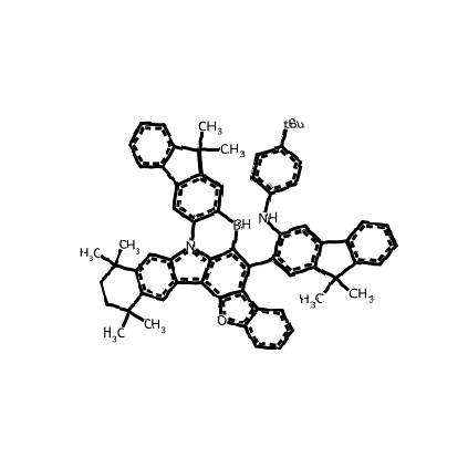 CC(C)(C)c1ccc(Nc2cc3c(cc2-c2c4c5c(c6cc7c(cc6n5-c5cc6c(cc5B4)C(C)(C)c4ccccc4-6)C(C)(C)CCC7(C)C)c4oc5ccccc5c24)C(C)(C)c2ccccc2-3)cc1